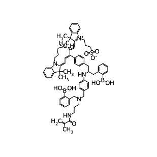 C=C(C)C(=O)NCCCN(Cc1ccc(NC(Cc2ccc(C(=C\C=C3/N(CCCS(=O)(=O)O)c4ccccc4C3(C)C)/C=C/C3=[N+](CCCS(=O)(=O)[O-])c4ccccc4C3(C)C)cc2)Cc2ccccc2B(O)O)cc1)Cc1ccccc1B(O)O